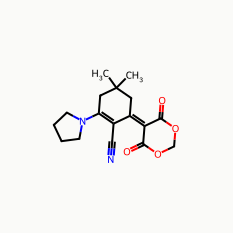 CC1(C)CC(=C2C(=O)OCOC2=O)C(C#N)=C(N2CCCC2)C1